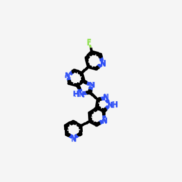 Fc1cncc(-c2cncc3[nH]c(-c4n[nH]c5ncc(-c6cccnc6)cc45)nc23)c1